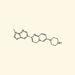 Cn1ccc2cc(C3=CCN4C=C(N5CCNCC5)C=CC4=N3)cnc21